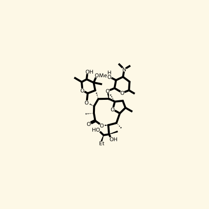 CC[C@@H](O)[C@@](C)(O)[C@@H]1OC(=O)[C@H](C)[C@H](OC2CC(C)(OC)C(O)C(C)O2)[C@H](C)[C@@H](OC2OC(C)CC(N(C)C)C2O)[C@@]2(C)CC(C)C(O2)[C@@H]1C